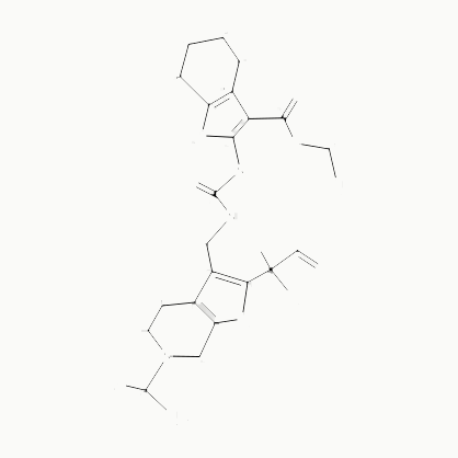 C=CC(F)(F)c1sc2c(c1CNC(=O)Nc1sc3c(c1C(=O)OCC)CCCC3)CCN(C(C)C)C2